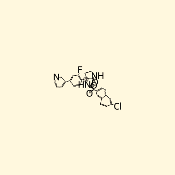 O=C1NCC[C@]1(NS(=O)(=O)c1ccc2cc(Cl)ccc2c1)c1ccc(-c2cccnc2)cc1F